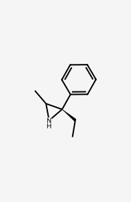 CC[C@@]1(c2ccccc2)NC1C